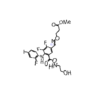 COC(=O)CCO/N=C/c1cc(C(=O)ONCCO)c(Nc2ccc(I)cc2F)c(F)c1F